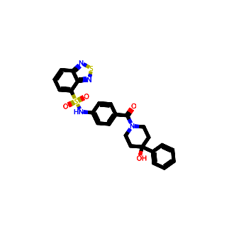 O=C(c1ccc(NS(=O)(=O)c2cccc3nsnc23)cc1)N1CCC(O)(c2ccccc2)CC1